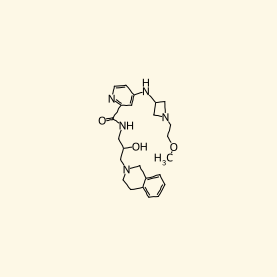 COCCN1CC(Nc2ccnc(C(=O)NCC(O)CN3CCc4ccccc4C3)c2)C1